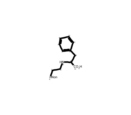 CCCCCCCCCCCNC(Cc1ccccc1)C(=O)O